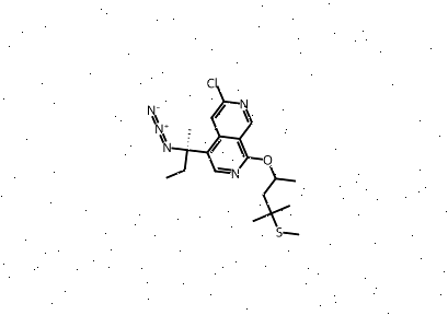 CC[C@@](C)(N=[N+]=[N-])c1cnc(OC(C)CC(C)(C)SC)c2cnc(Cl)cc12